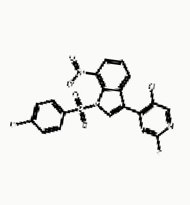 O=[N+]([O-])c1cccc2c(-c3nc(Cl)ncc3Cl)cn(S(=O)(=O)c3ccc(Cl)cc3)c12